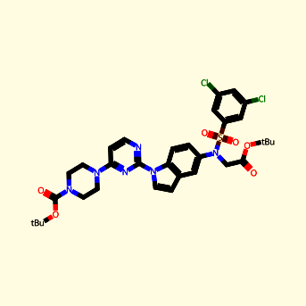 CC(C)(C)OC(=O)CN(c1ccc2c(ccn2-c2nccc(N3CCN(C(=O)OC(C)(C)C)CC3)n2)c1)S(=O)(=O)c1cc(Cl)cc(Cl)c1